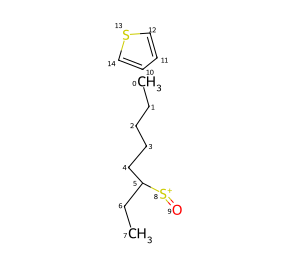 CCCCCC(CC)[S+]=O.c1ccsc1